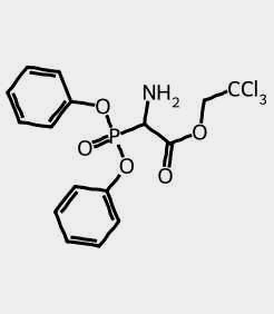 NC(C(=O)OCC(Cl)(Cl)Cl)P(=O)(Oc1ccccc1)Oc1ccccc1